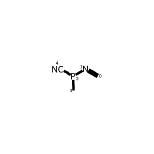 C=NP(C)C#N